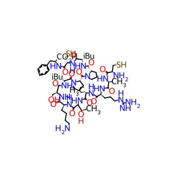 CC[C@H](C)[C@H](NC(=O)[C@@H]1CCCN1C(=O)[C@@H]1CCCN1C(=O)[C@@H](NC(=O)[C@H](CO)NC(=O)[C@H](CCCCN)NC(=O)[C@@H](NC(=O)[C@H](C)NC(=O)[C@H](CCCNC(=N)N)NC(=O)[C@H](C)NC(=O)[C@@H](N)CS)[C@@H](C)O)[C@@H](C)CC)C(=O)N[C@@H](CS)C(=O)N[C@@H](Cc1ccccc1)C(=O)O